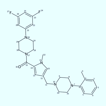 Cc1ccccc1N1CCN(Cc2cc(C(=O)N3CCN(c4cc(F)cc(F)c4)CC3)n(C)c2)CC1